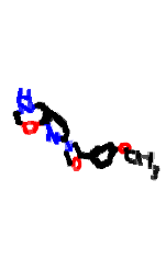 COc1ccc(C2CN(c3ccc4c(n3)OCCNC4)CCO2)cc1